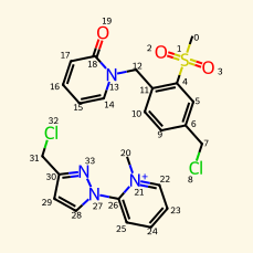 CS(=O)(=O)c1cc(CCl)ccc1Cn1ccccc1=O.C[n+]1ccccc1-n1ccc(CCl)n1